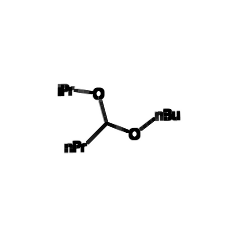 CCCCOC(CCC)OC(C)C